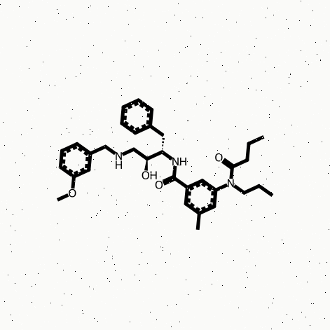 CCCC(=O)N(CCC)c1cc(C)cc(C(=O)N[C@@H](Cc2ccccc2)[C@@H](O)CNCc2cccc(OC)c2)c1